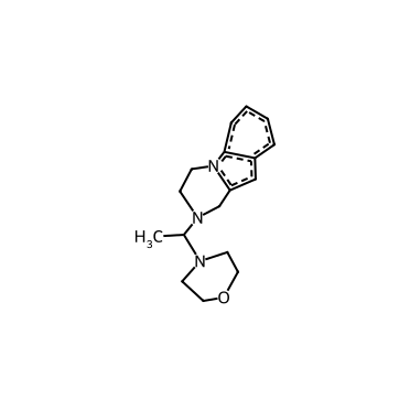 CC(N1CCOCC1)N1CCn2c(cc3ccccc32)C1